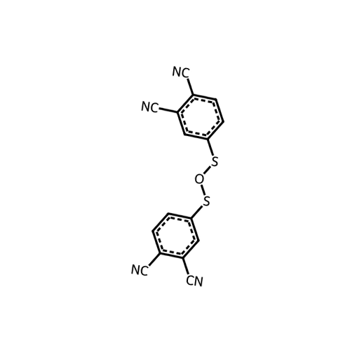 N#Cc1ccc(SOSc2ccc(C#N)c(C#N)c2)cc1C#N